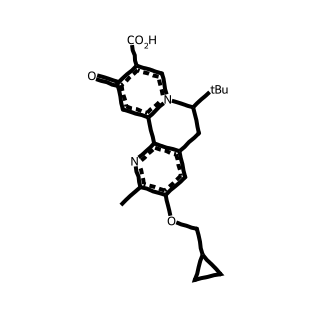 Cc1nc2c(cc1OCC1CC1)CC(C(C)(C)C)n1cc(C(=O)O)c(=O)cc1-2